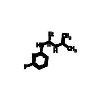 C=C(C)N[C@H](CC)Nc1cccc(F)n1